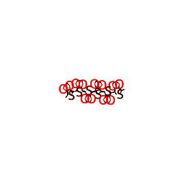 CC1=C2OCCOC2=C(C2S/C(=c3/s/c(=c4/s/c(=C5/SC(c6sc(C)c7c6OCCO7)C6=C5OCCO6)c5c4OCCO5)c4c3OCCO4)C3=C2OCCO3)CS1